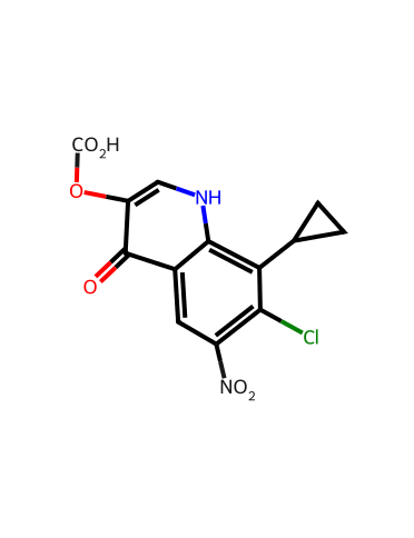 O=C(O)Oc1c[nH]c2c(C3CC3)c(Cl)c([N+](=O)[O-])cc2c1=O